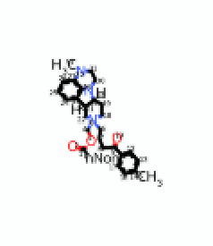 CCCCCCCCCC(=O)OC[N+]1(CCCC(=O)c2ccc(C)cc2)CC[C@H]2[C@@H](C1)c1cccc3c1N2CCN3C